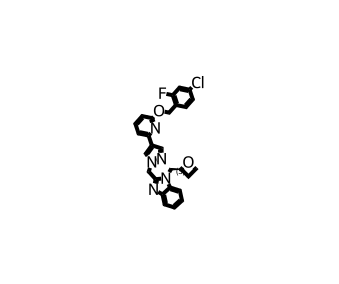 Fc1cc(Cl)ccc1COc1cccc(-c2cnn(Cc3nc4ccccc4n3C[C@@H]3CCO3)c2)n1